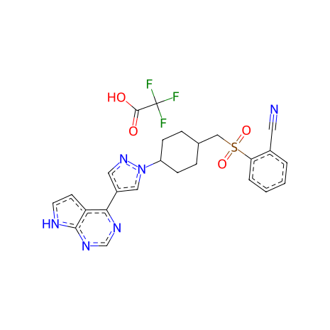 N#Cc1ccccc1S(=O)(=O)CC1CCC(n2cc(-c3ncnc4[nH]ccc34)cn2)CC1.O=C(O)C(F)(F)F